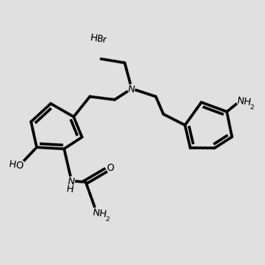 Br.CCN(CCc1cccc(N)c1)CCc1ccc(O)c(NC(N)=O)c1